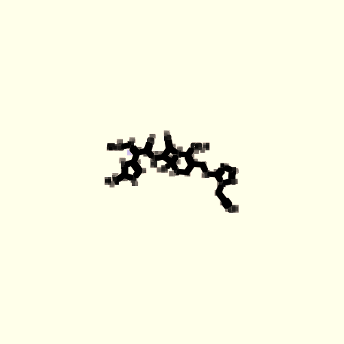 C#CCn1nnnc1SCC1=C(C(=O)O)N2C(=O)C(NC(=O)/C(=N/OC)c3csc(N)n3)[C@H]2SC1